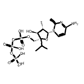 C=C1N=C(N)C=CN1[C@@H]1O[C@@](COP(=O)(O)OP(=O)(O)OP(=O)(O)O)(C(C)C)[C@@H](O)[C@@H]1F